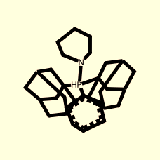 c1ccc([PH](N2CCCCC2)(C23CC4CC(CC(C4)C2)C3)C23CC4CC(CC(C4)C2)C3)cc1